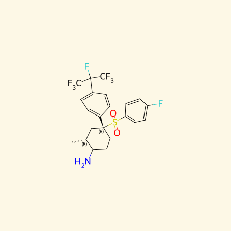 C[C@@H]1C[C@](c2ccc(C(F)(C(F)(F)F)C(F)(F)F)cc2)(S(=O)(=O)c2ccc(F)cc2)CCC1N